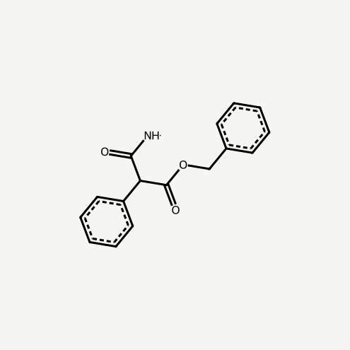 [NH]C(=O)C(C(=O)OCc1ccccc1)c1ccccc1